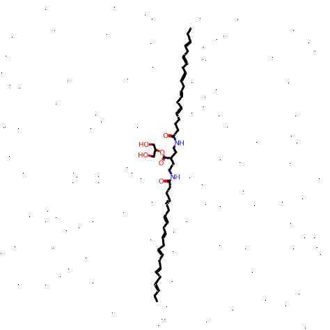 CCC=CCC=CCC=CCC=CCC=CCC=CCCC(=O)NCCC(CCNC(=O)CCCC=CCC=CCC=CCC=CCC=CCC)C(=O)OC(CO)CO